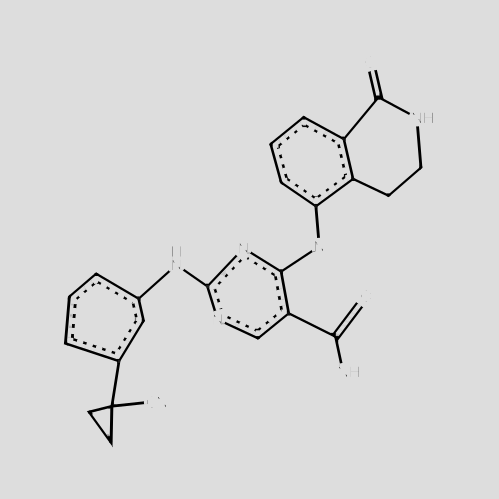 N#CC1(c2cccc(Nc3ncc(C(N)=O)c(Nc4cccc5c4CCNC5=O)n3)c2)CC1